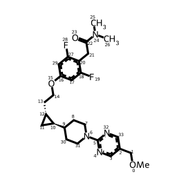 COCc1cnc(N2CCC([C@H]3C[C@@H]3CCOc3cc(F)c(CC(=O)N(C)C)c(F)c3)CC2)nc1